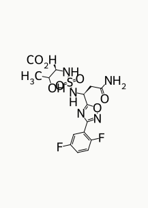 CC(O)[C@H](NS(=O)(=O)N[C@@H](CC(N)=O)c1nc(-c2cc(F)ccc2F)no1)C(=O)O